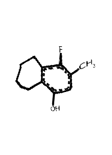 Cc1cc(O)c2c(c1F)CCCC2